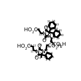 CC1(c2ccccc2)C(=O)N(CCC(=O)O)C(=O)N1CCC(=O)O.O=C(O)CCN1C(=O)N(CCC(=O)O)C(c2ccccc2)(c2ccccc2)C1=O